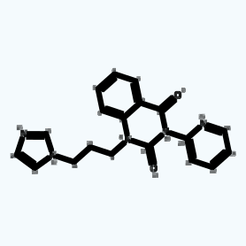 O=c1c2ccccc2n(CCCn2ccnc2)c(=O)n1-c1ccccn1